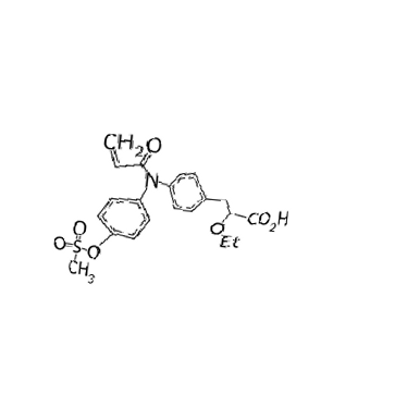 C=CC(=O)N(c1ccc(CC(OCC)C(=O)O)cc1)c1ccc(OS(C)(=O)=O)cc1